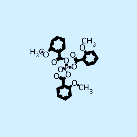 COc1ccccc1C(=O)OP(=O)(OC(=O)c1ccccc1OC)OC(=O)c1ccccc1OC